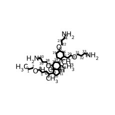 CCCOCCCC(C)C1CC[C@H]2[C@H](C)[C@@H](C3(C)CC[C@@H](OCCCN)CC3CCOCCCN)C[C@H](OCCCN)C12C